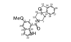 COc1cc(C(=O)N2CCC3(CC2)OCc2ccccc23)c2[nH]ccc2c1